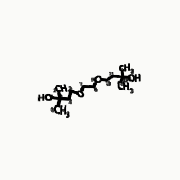 CC(C)(O)CCOCCOCCC(C)(C)O